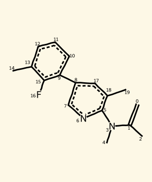 C=C(C)N(C)c1ncc(-c2cccc(C)c2F)cc1C